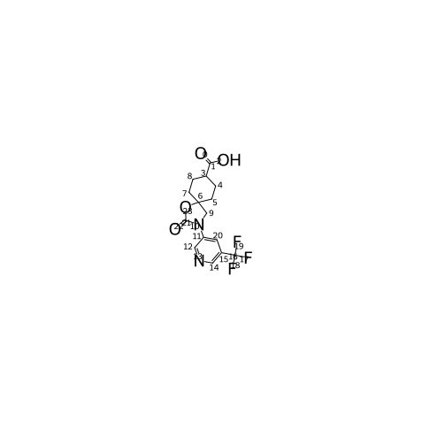 O=C(O)C1CCC2(CC1)CN(c1cncc(C(F)(F)F)c1)C(=O)O2